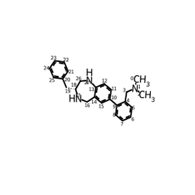 CN(C)Cc1ccccc1-c1ccc2c(c1)CN[C@H](Cc1ccccc1)CN2